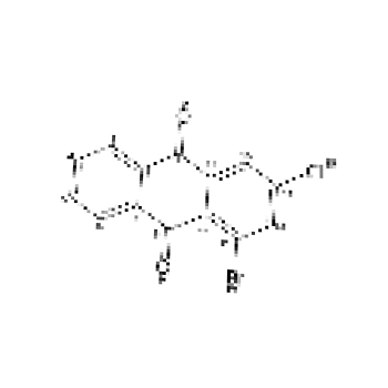 O=C1c2ccccc2C(=O)c2c(Br)cc(Cl)cc21